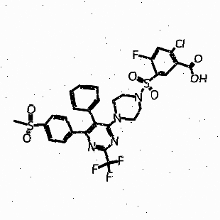 CS(=O)(=O)c1ccc(-c2nc(C(F)(F)F)nc(N3CCN(S(=O)(=O)c4cc(C(=O)O)c(Cl)cc4F)CC3)c2-c2ccccc2)cc1